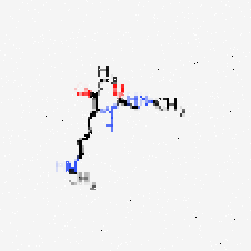 CNCCCCC(NC(=O)CNC)C(C)=O